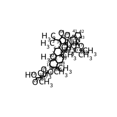 CC(C)C1=C2C3CCC4[C@@]5(C)CC[C@H](OC(=O)CC(C)(C)C(=O)O)C(C)(C)C5CC[C@@]4(C)[C@]3(C)CC[C@@]2(NC(=O)[C@H]2CCCN2C(=O)OC(C)(C)C)CC1=O